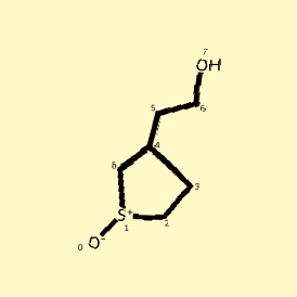 [O-][S+]1CCC(CCO)C1